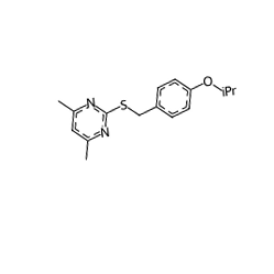 Cc1cc(C)nc(SCc2ccc(OC(C)C)cc2)n1